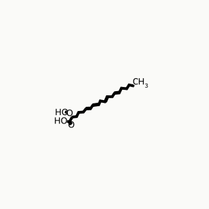 CCCCC/C=C/C/C=C/C/C=C/C=C/CCCC(OO)C(=O)O